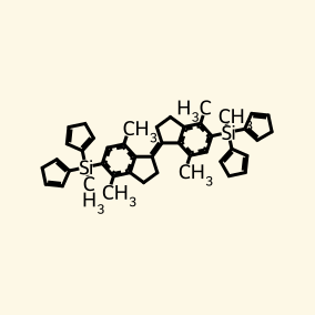 Cc1cc([Si](C)(C2=CCC=C2)C2=CCC=C2)c(C)c2c1C(=C1CCc3c(C)c([Si](C)(C4=CCC=C4)C4=CCC=C4)cc(C)c31)CC2